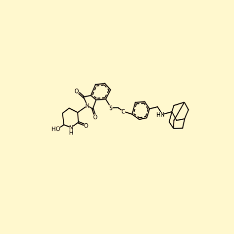 O=C1NC(O)CCC1N1C(=O)c2cccc(SCCc3ccc(CNC45CC6CC(CC(C6)C4)C5)cc3)c2C1=O